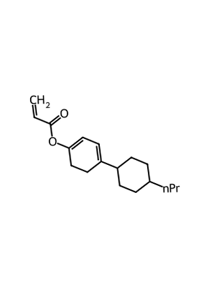 C=CC(=O)OC1=CC=C(C2CCC(CCC)CC2)CC1